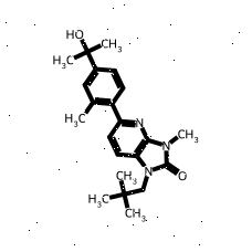 Cc1cc(C(C)(C)O)ccc1-c1ccc2c(n1)n(C)c(=O)n2CC(C)(C)C